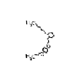 CCCCCCCC1CCCCC1CCCOc1ccc(OCCCC)cc1